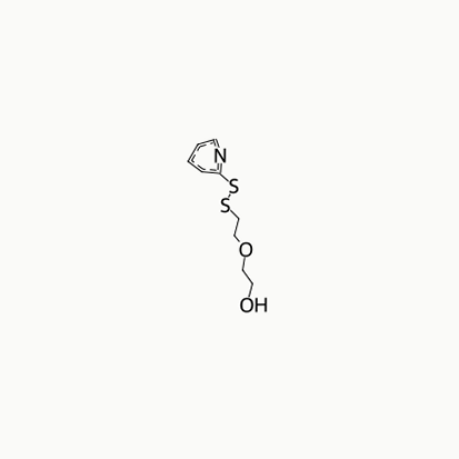 OCCOCCSSc1ccccn1